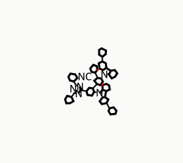 N#Cc1ccccc1-c1cc(-c2cc(-c3nc(-c4ccccc4)nc(-c4ccccc4)n3)ccc2-n2c3ccccc3c3cc(-c4ccccc4)ccc32)ccc1-n1c2ccccc2c2cc(-c3ccccc3)ccc21